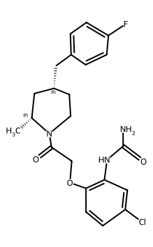 C[C@@H]1C[C@H](Cc2ccc(F)cc2)CCN1C(=O)COc1ccc(Cl)cc1NC(N)=O